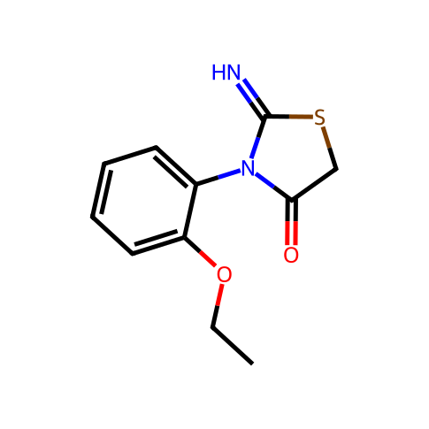 CCOc1ccccc1N1C(=N)SCC1=O